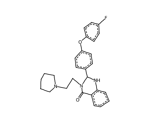 O=C1c2ccccc2NC(c2ccc(Oc3ccc(F)cc3)cc2)N1CCN1CCCCC1